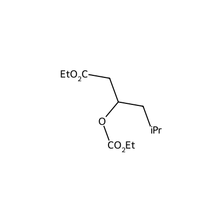 CCOC(=O)CC(CC(C)C)OC(=O)OCC